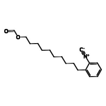 [C-]#[N+]c1ccccc1CCCCCCCCCCOC=O